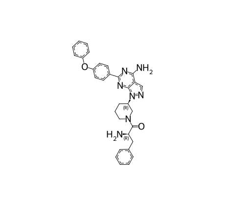 Nc1nc(-c2ccc(Oc3ccccc3)cc2)nc2c1cnn2[C@@H]1CCCN(C(=O)[C@H](N)Cc2ccccc2)C1